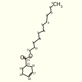 CCCCCCCCCCCCOC(=O)C1CC=CCC1